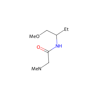 CCC(COC)NC(=O)CNC